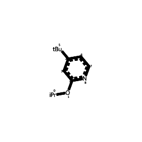 CC(C)Oc1cc(C(C)(C)C)ccn1